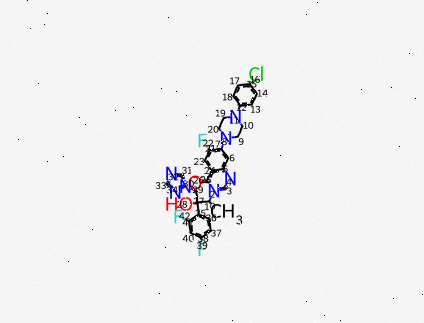 CC(n1cnc2cc(N3CCN(c4ccc(Cl)cc4)CC3)c(F)cc2c1=O)C(O)(Cn1cncn1)c1ccc(F)cc1F